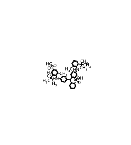 Cc1cccc(C(C)(C)C)c1Nc1ccc(C(c2ccc(Nc3c(C)cc(S(=O)(=O)O)cc3C(C)(C)C)cc2)c2ccccc2S(=O)(=O)O)cc1